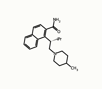 CC1CCN(C[C@H](c2c(C(N)=O)ccc3ccccc23)C(C)C)CC1